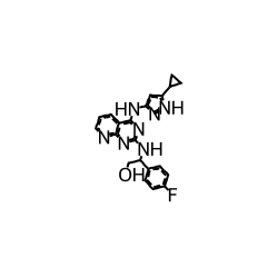 OCC(Nc1nc(Nc2cc(C3CC3)[nH]n2)c2cccnc2n1)c1ccc(F)cc1